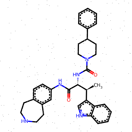 C[C@@H](c1c[nH]c2ccccc12)[C@@H](NC(=O)N1CCC(c2ccccc2)CC1)C(=O)Nc1ccc2c(c1)CCNCC2